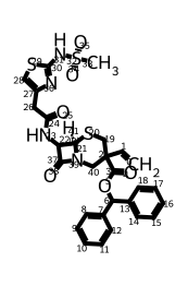 C=CC1(C(=O)OC(c2ccccc2)c2ccccc2)CS[C@@H]2C(NC(=O)Cc3csc(NS(C)(=O)=O)n3)C(=O)N2C1